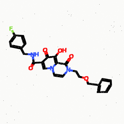 O=C(NCc1ccc(F)cc1)c1cn2ccn(CCOCc3ccccc3)c(=O)c2c(O)c1=O